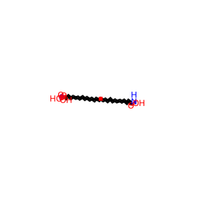 O=C(CCCCCCCCCCCCCCCCCCCCCCCCCCCCOP(=O)(O)O)NO